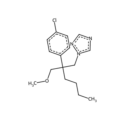 CCCCC(COC)(Cn1cncn1)c1ccc(Cl)cc1